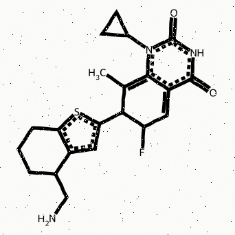 CC1=c2c(c(=O)[nH]c(=O)n2C2CC2)=CC(F)C1c1cc2c(s1)CCCC2CN